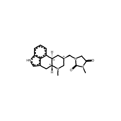 CN1C(=O)CN(C[C@@H]2C[C@@H]3c4cccc5[nH]cc(c45)C[C@H]3N(C)C2)C1=O